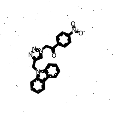 O=C(Cn1cc(Cn2c3ccccc3c3ccccc32)nn1)c1ccc([N+](=O)[O-])cc1